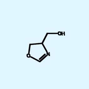 OCC1COC=N1